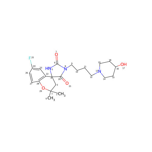 CC1(C)CC2(NC(=O)N(CCCCN3CCC(O)CC3)C2=O)c2cc(F)ccc2O1